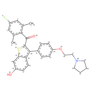 Cc1cc(F)cc(C)c1C(=O)c1sc2cc(O)ccc2c1-c1ccc(OCCN2CCCC2)cc1